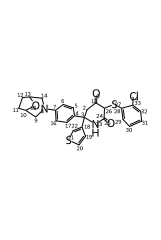 O=C1CC(c2ccc(N3CC4CCC(C3)O4)cc2)(c2ccsc2)NC(=O)C1Sc1ccccc1Cl